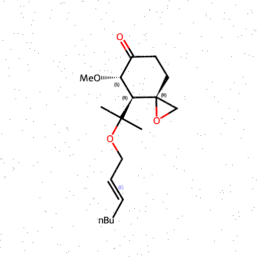 CCCC/C=C/COC(C)(C)[C@H]1[C@H](OC)C(=O)CC[C@]12CO2